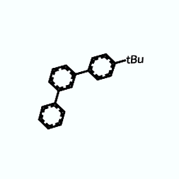 CC(C)(C)c1ccc(-c2cccc(-c3ccccc3)c2)cc1